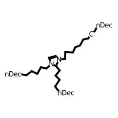 CCCCCCCCCCCCCCCCCCCN1C=CN(CCCCCCCCCCCCCCC)C1CCCCCCCCCCCCCC